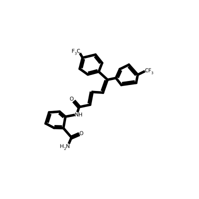 NC(=O)c1ccccc1NC(=O)C=CC=C(c1ccc(C(F)(F)F)cc1)c1ccc(C(F)(F)F)cc1